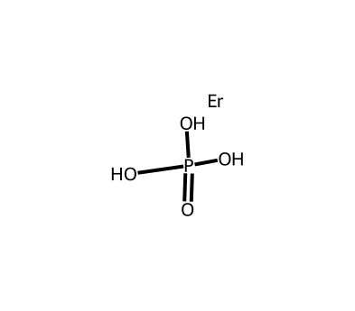 O=P(O)(O)O.[Er]